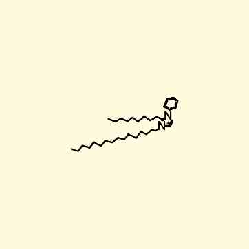 CCCCCCCCCCCCCCCC[n+]1ccn(-c2ccccc2)c1CCCCCCCCC